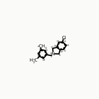 Cc1cc(C)cc(CN2Cc3ccc(Cl)cc3C2)c1